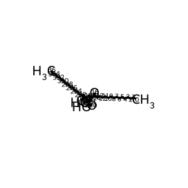 CCCCCCCCCCCCCCCC(=O)C1CN(C(=O)CCCCCCCCCCCCCCC)C(O)(C(=O)O)C1